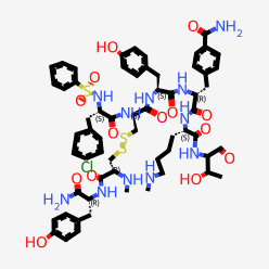 CNCCCC[C@H](NC(=O)[C@@H](Cc1ccc(C(N)=O)cc1)NC(=O)[C@H](Cc1ccc(O)cc1)NC(=O)[C@@H](CSSC[C@H](NC)C(=O)N[C@H](Cc1ccc(O)cc1)C(N)=O)NC(=O)[C@H](Cc1ccc(Cl)cc1)NS(=O)(=O)c1ccccc1)C(=O)NC(C=O)C(C)O